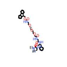 CCNC(=O)C(CC(C)C)NC(=O)C(Cc1ccccc1)NC(=O)CNC(=O)COCCOCCOCCNC(=O)OCC1c2ccccc2-c2ccccc21